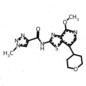 COc1ncc(C2CCOCC2)c2sc(NC(=O)c3cn(C)nn3)nc12